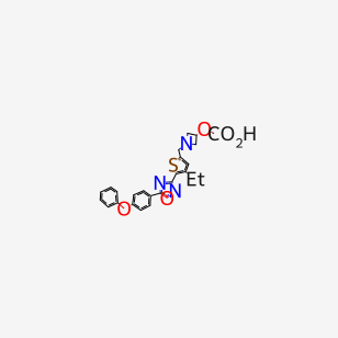 CCc1cc(CN2CC(OC(=O)O)C2)sc1-c1noc(-c2ccc(Oc3ccccc3)cc2)n1